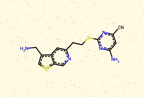 N#Cc1cc(N)nc(SCCc2cc3c(CN)csc3cn2)n1